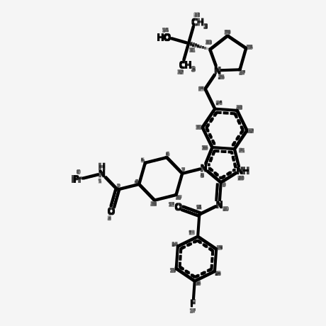 CC(C)NC(=O)C1CCC(n2/c(=N\C(=O)c3ccc(F)cc3)[nH]c3ccc(CN4CCC[C@H]4C(C)(C)O)cc32)CC1